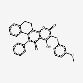 COc1cccc(Sc2c(O)c3c(=O)n(-c4ccccc4)c4c(c3oc2=O)CCc2ccccc2-4)c1